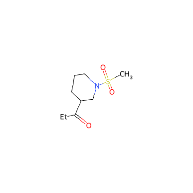 CCC(=O)C1CCCN(S(C)(=O)=O)C1